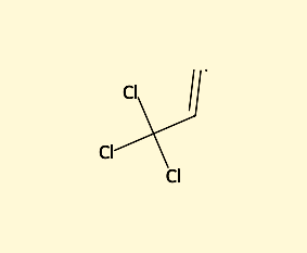 [CH]=CC(Cl)(Cl)Cl